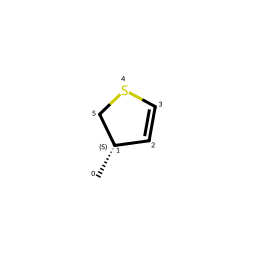 C[C@H]1C=CSC1